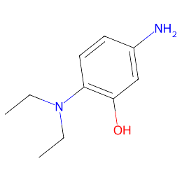 CCN(CC)c1ccc(N)cc1O